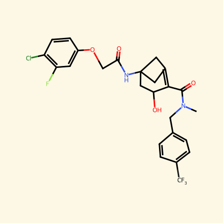 CN(Cc1ccc(C(F)(F)F)cc1)C(=O)C1=C2CC(NC(=O)COc3ccc(Cl)c(F)c3)(C2)CC1O